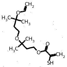 C=COC(C)(C)CCOC(C)(C)CCOC(=O)C(=C)S